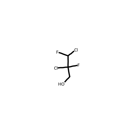 OCC(F)(Cl)C(F)Cl